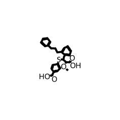 COC(C(=O)O)C(Sc1ccc(C(=O)O)cc1)c1ccccc1CCCc1ccccc1